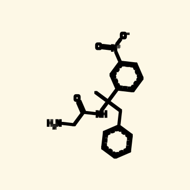 CC(Cc1ccccc1)(NC(=O)CN)c1cccc([N+](=O)[O-])c1